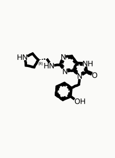 O=c1[nH]c2cnc(NC[C@@H]3CCNC3)nc2n1Cc1ccccc1O